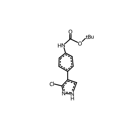 CC(C)(C)OC(=O)Nc1ccc(-c2c[nH]nc2Cl)cc1